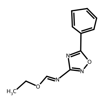 CCOC=Nc1noc(-c2ccccc2)n1